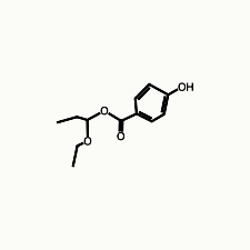 CCOC(CC)OC(=O)c1ccc(O)cc1